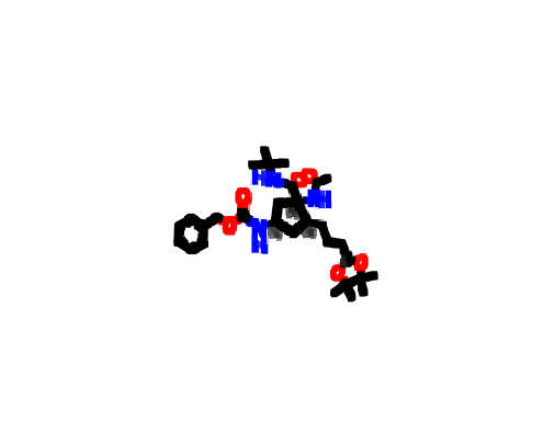 CC(=O)N[C@@]1(C(=O)NC(C)(C)C)C[C@@H](NC(=O)OCc2ccccc2)C[C@@H]1CCCB1OC(C)(C)C(C)(C)O1